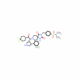 CN(C)S(=O)(=O)c1ccc(CN2C(=O)NC3(CCN(C(C(=O)C4CCC(F)(F)CC4)[C@@H]4CNC[C@@H]4c4ccccc4)CC3)C2=O)cc1.Cl